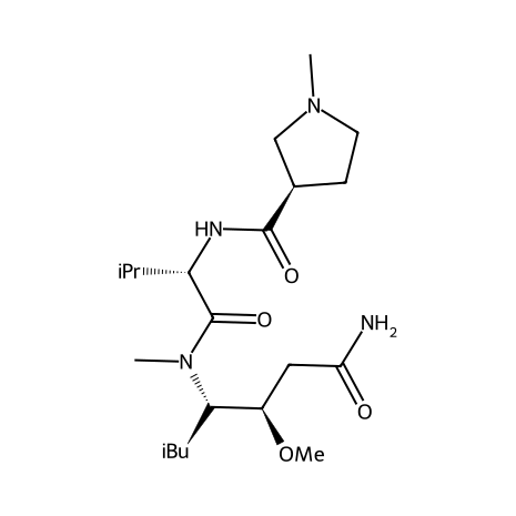 CC[C@H](C)[C@@H]([C@@H](CC(N)=O)OC)N(C)C(=O)[C@@H](NC(=O)[C@@H]1CCN(C)C1)C(C)C